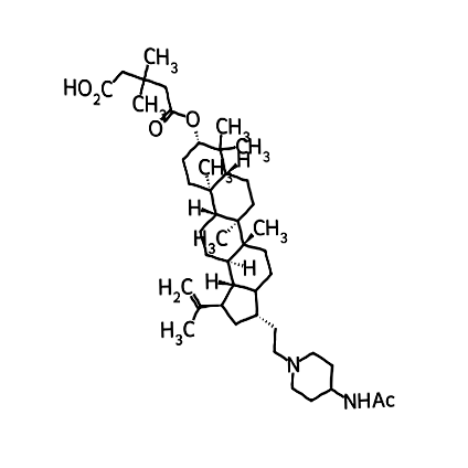 C=C(C)[C@@H]1C[C@@H](CCN2CCC(NC(C)=O)CC2)C2CC[C@]3(C)[C@H](CC[C@@H]4[C@@]5(C)CC[C@H](OC(=O)CC(C)(C)CC(=O)O)C(C)(C)[C@@H]5CC[C@]43C)[C@H]21